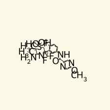 COc1cnc(C(=O)Nc2ccc(F)c([C@@]3(C(F)F)CS(O)(O)C(C)(C)C(N)=N3)c2)cn1